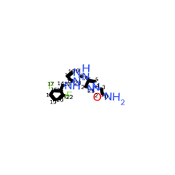 NC(=O)Cn1cc(Nc2nccc(NCc3c(F)cccc3F)n2)cn1